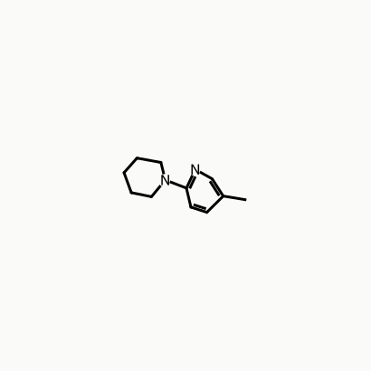 Cc1ccc(N2CCCCC2)nc1